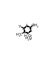 Bc1ccc(C)c(F)c1.O.O